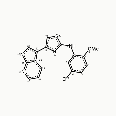 COc1ccc(Cl)cc1Nc1nc(-c2cnc3ncccn23)cs1